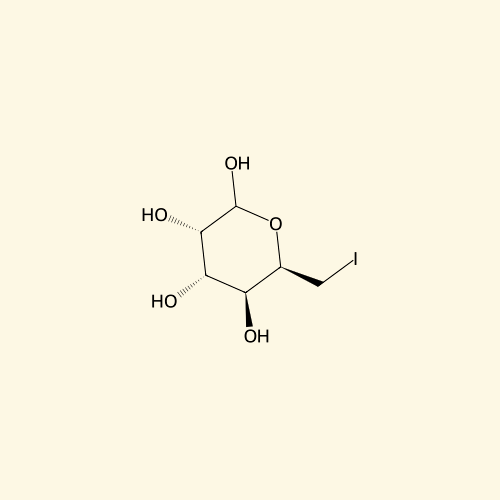 OC1O[C@@H](CI)[C@@H](O)[C@H](O)[C@@H]1O